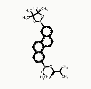 C=C(OB(OC)c1ccc2ccc3c4cc(B5OC(C)(C)C(C)(C)O5)ccc4ccc3c2c1)C(C)C